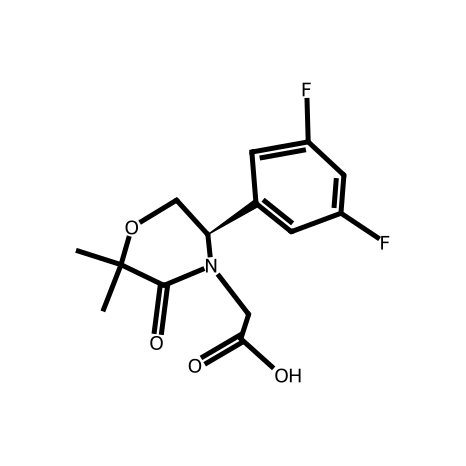 CC1(C)OC[C@@H](c2cc(F)cc(F)c2)N(CC(=O)O)C1=O